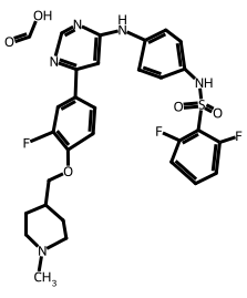 CN1CCC(COc2ccc(-c3cc(Nc4ccc(NS(=O)(=O)c5c(F)cccc5F)cc4)ncn3)cc2F)CC1.O=CO